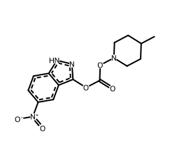 CC1CCN(OC(=O)Oc2n[nH]c3ccc([N+](=O)[O-])cc23)CC1